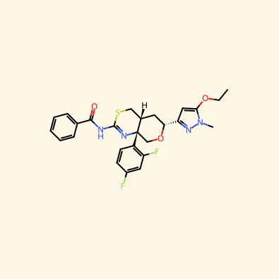 CCOc1cc([C@H]2C[C@H]3CSC(NC(=O)c4ccccc4)=N[C@@]3(c3ccc(F)cc3F)CO2)nn1C